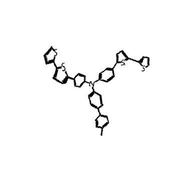 Cc1ccc(-c2ccc(N(c3ccc(-c4ccc(-c5cccs5)s4)cc3)c3ccc(-c4ccc(-c5cccs5)s4)cc3)cc2)cc1